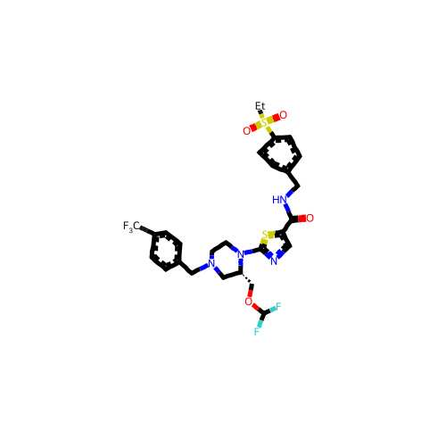 CCS(=O)(=O)c1ccc(CNC(=O)c2cnc(N3CCN(Cc4ccc(C(F)(F)F)cc4)C[C@H]3COC(F)F)s2)cc1